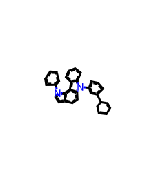 C1=CCC(c2cccc(-n3c4ccccc4c4c5c(ccc43)ccn5-c3ccccc3)c2)C=C1